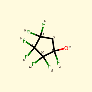 [O]C1(F)CC(F)(F)C(F)(F)C1(F)F